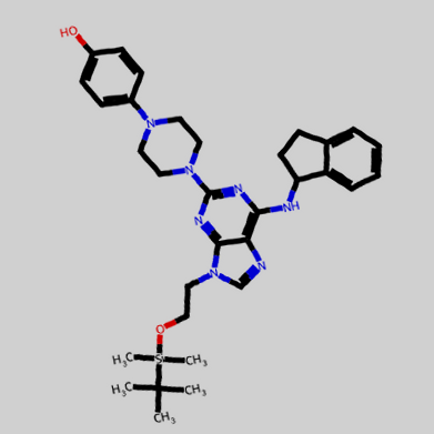 CC(C)(C)[Si](C)(C)OCCn1cnc2c(NC3CCc4ccccc43)nc(N3CCN(c4ccc(O)cc4)CC3)nc21